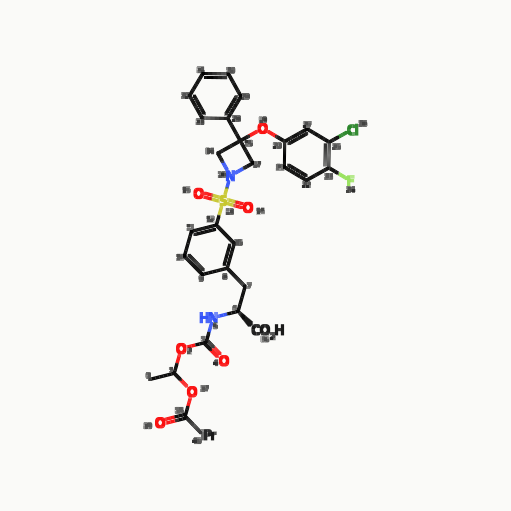 CC(OC(=O)N[C@@H](Cc1cccc(S(=O)(=O)N2CC(Oc3ccc(F)c(Cl)c3)(c3ccccc3)C2)c1)C(=O)O)OC(=O)C(C)C